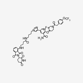 NC(=O)c1cc(-c2cn(CCCCNC(=O)CCCNc3cccc4c3C(=O)N(C3CCC(=O)NC3=O)C4=O)cn2)cnc1O[C@@H]1CCN(C(=O)Cc2ccc(OC(F)(F)F)cc2)C[C@H]1F